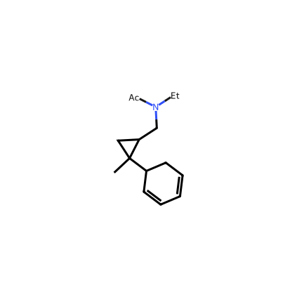 CCN(CC1CC1(C)C1C=CC=CC1)C(C)=O